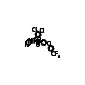 CN1CCN(C[C@@H](NS(=O)(=O)c2ccc(Oc3ccc(C(F)(F)F)cc3)cc2)c2ccc(Cl)c(Cl)c2)CC1